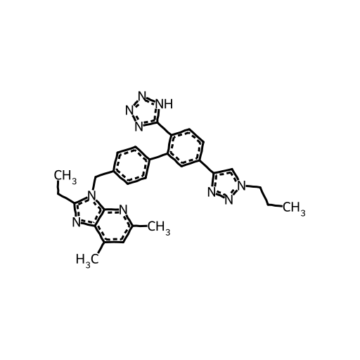 CCCn1cc(-c2ccc(-c3nnn[nH]3)c(-c3ccc(Cn4c(CC)nc5c(C)cc(C)nc54)cc3)c2)nn1